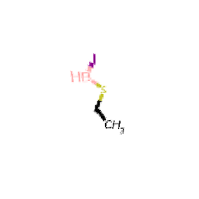 CCSBI